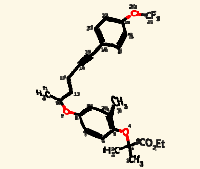 CCOC(=O)C(C)(C)Oc1ccc(OC(C)CCC#Cc2ccc(OC(F)(F)F)cc2)cc1C